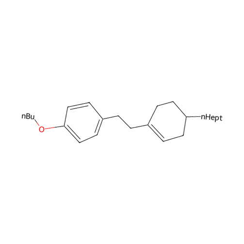 CCCCCCCC1CC=C(CCc2ccc(OCCCC)cc2)CC1